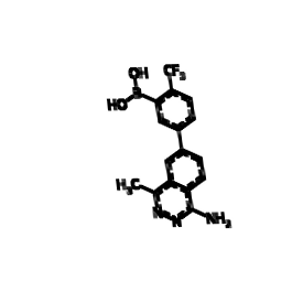 Cc1nnc(N)c2ccc(-c3ccc(C(F)(F)F)c(B(O)O)c3)cc12